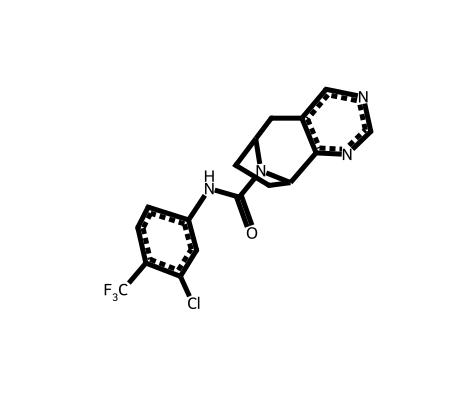 O=C(Nc1ccc(C(F)(F)F)c(Cl)c1)N1C2CCC1c1ncncc1C2